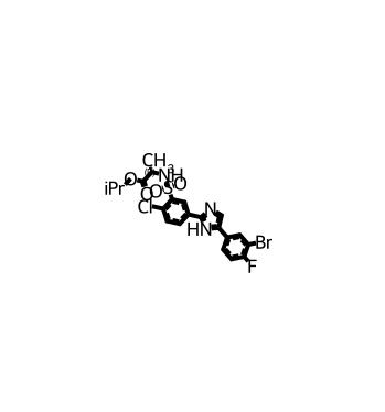 CC(C)OC(=O)[C@@H](C)NS(=O)(=O)c1cc(-c2ncc(-c3ccc(F)c(Br)c3)[nH]2)ccc1Cl